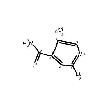 CCc1cc(C(N)=S)ccn1.Cl